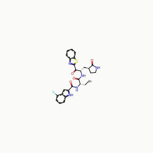 CC(C)C[C@H](NC(=O)c1cc2c(F)cccc2[nH]1)C(=O)N[C@@H](C[C@@H]1CCNC1=O)C(=O)c1nc2ccccc2s1